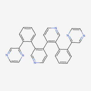 c1ccc(-c2cnccc2-c2ccncc2-c2ccccc2-c2cnccn2)c(-c2cnccn2)c1